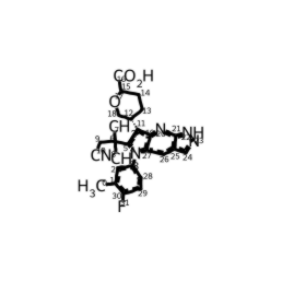 Cc1cc(-n2c(C(C)(C)CC#N)c([C@H]3CCC(C(=O)O)OC3)c3nc4[nH]ncc4cc32)ccc1F